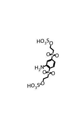 Nc1cc(S(=O)(=O)CCOS(=O)(=O)O)ccc1S(=O)(=O)CCOS(=O)(=O)O